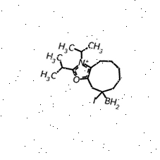 BC1(I)CCCCCc2c(oc(C(C)C)[n+]2C(C)C)C1